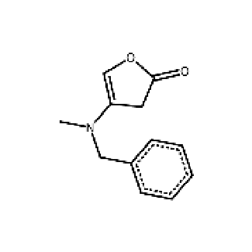 CN(Cc1ccccc1)C1=COC(=O)C1